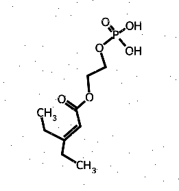 CCC(=CC(=O)OCCOP(=O)(O)O)CC